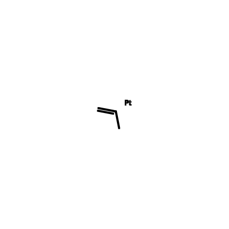 C=CC.[Pt]